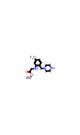 CC(C)(C)OC(=O)CNc1cc(C(F)(F)F)ccc1CN1CCNCC1